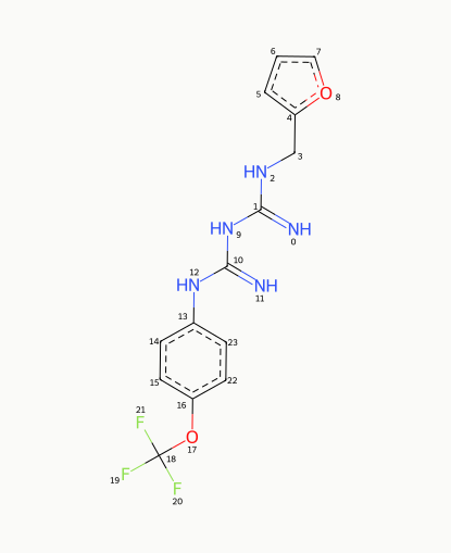 N=C(NCc1ccco1)NC(=N)Nc1ccc(OC(F)(F)F)cc1